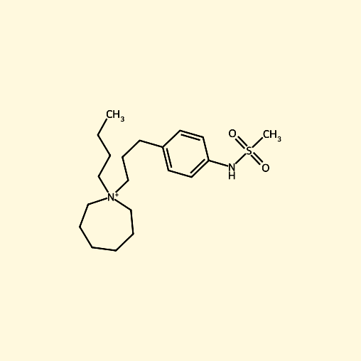 CCCC[N+]1(CCCc2ccc(NS(C)(=O)=O)cc2)CCCCCC1